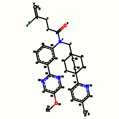 C=C(F)CCC(=O)N(CC12CCC(c3ccc(C(F)(F)F)cn3)(CC1)CC2)c1cccc(-c2ncc(OCC)cn2)c1